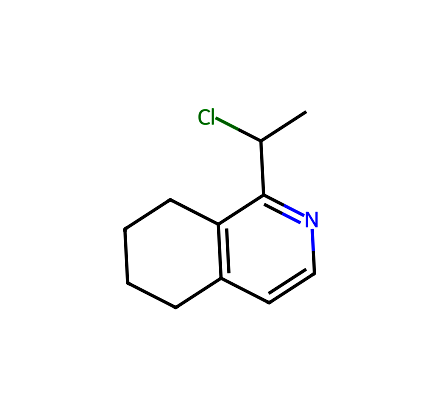 CC(Cl)c1nccc2c1CCCC2